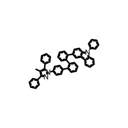 Cc1c(-c2ccccc2)nn(-c2ccc(-c3ccccc3-c3ccccc3-c3ccc4c(c3)c3ccccc3n4-c3ccccc3)cc2)c1-c1ccccc1